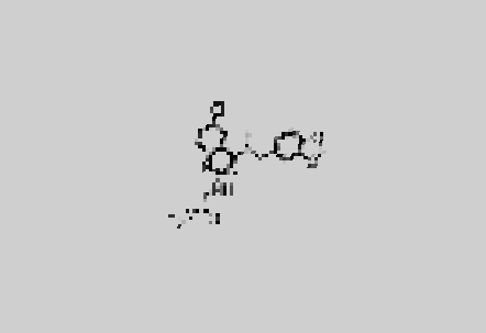 NC(=O)CNc1nc(NCc2ccc3c(c2)OCO3)c2cc(Cl)ccc2n1